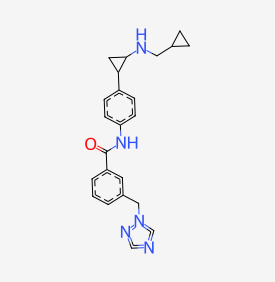 O=C(Nc1ccc(C2CC2NCC2CC2)cc1)c1cccc(Cn2cncn2)c1